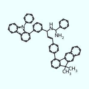 CC1(C)c2cc3ccccc3cc2-c2c(-c3ccc(/C=C/C(NC(N)c4ccccc4)c4cccc(-c5cccc6c7ccccc7n(-c7ccccc7)c56)c4)cc3)cccc21